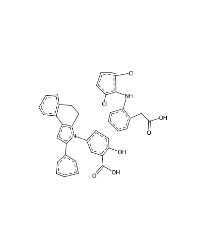 O=C(O)Cc1ccccc1Nc1c(Cl)cccc1Cl.O=C(O)c1cc(-n2c(-c3ccccc3)cc3c2CCc2ccccc2-3)ccc1O